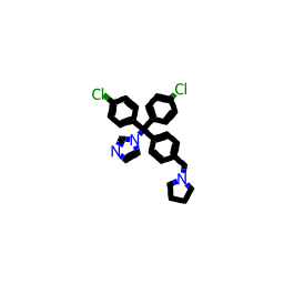 Clc1ccc(C(c2ccc(Cl)cc2)(c2ccc(CN3CCCC3)cc2)n2ccnc2)cc1